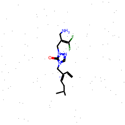 C=C/C(=C\CC(C)C)Cn1cnn(CC(CN)=C(F)F)c1=O